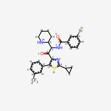 O=C(NC(C(=O)c1nc(C2CC2)sc1-c1cccc(C(F)(F)F)c1)C1CCCCN1)c1cccc(Br)c1